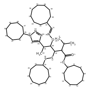 CC(C)C(C(=O)OC1CCCCCCCC1)C(SSC1CCCCCCCC1)C(O/N=C/C1CCCCCCCC1)C(C)c1cn(C2CCCCCCC2)nn1